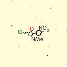 CNC1=C(c2ccc(C)c([N+](=O)[O-])c2)C(=O)C(/C=C/Cl)C1